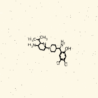 CC(C)C1N=C(N2CCC([C@@H](N)c3cc(Cl)c(Cl)cc3O)CC2)CCC1N